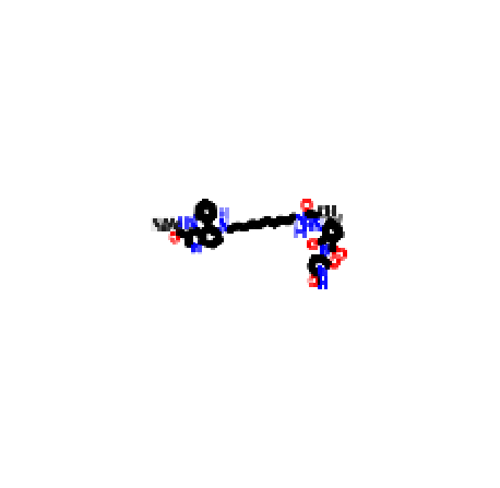 CNC(=O)c1cnc2ccc(NCCCCCCCCCCNC(=O)[C@H](C)Nc3cccc4c3C(=O)N(C3CCC(=O)NC3=O)C4=O)cc2c1Nc1ccccc1